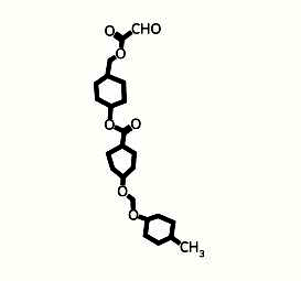 CC1CCC(OCOC2CCC(C(=O)OC3CCC(COC(=O)C=O)CC3)CC2)CC1